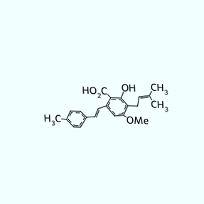 COc1cc(/C=C/c2ccc(C)cc2)c(C(=O)O)c(O)c1CC=C(C)C